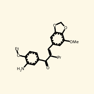 CCOc1ccc(C(=O)/C(=C/c2cc(OC)c3c(c2)OCO3)C(C)C)cc1N